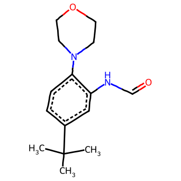 CC(C)(C)c1ccc(N2CCOCC2)c(NC=O)c1